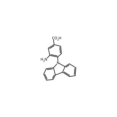 Nc1cc(C(=O)O)ccc1-n1c2ccccc2c2ccccc21